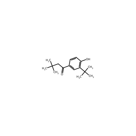 CC(C)(C)CC(=O)c1ccc(O)c(C(C)(C)C)c1